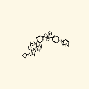 O=C(Nc1nc2cc(OS(=O)(=O)c3ccc(-n4ccnc4)cc3)ccc2[nH]1)NC1CCC1